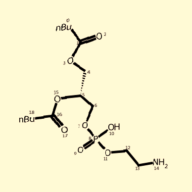 CCCCC(=O)OC[C@H](COP(=O)(O)OCCN)OC(=O)CCCC